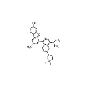 Cc1cc(-c2ncc(C(C)C)c3cc(C4CCC(F)(F)C4)ccc23)c2oc3nc(C)ccc3c2c1